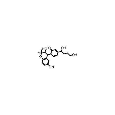 CC1(C)Oc2ccc(C#N)cc2C(n2ccc(C(O)CCCO)cc2=O)C1O